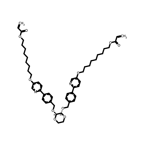 C=CC(=O)OCCCCCCCCCOc1ccc(-c2ccc(CO[C@@H]3OCCO[C@H]3OCc3ccc(-c4ccc(OCCCCCCCCCOC(=O)C=C)cn4)cc3)cc2)nc1